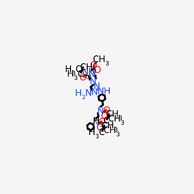 CCOC(=O)CN1CCN(c2cc(N)nc(NC3CCC(CCN(CCCN(C(=O)OC(C)(C)C)C4CCCCC4)C(=O)OC(C)(C)C)CC3)n2)C[C@H]1C(=O)NC(C)(C)C